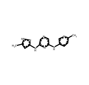 Cc1ccc(Nc2cncc(Nc3cc(C)[nH]n3)n2)cn1